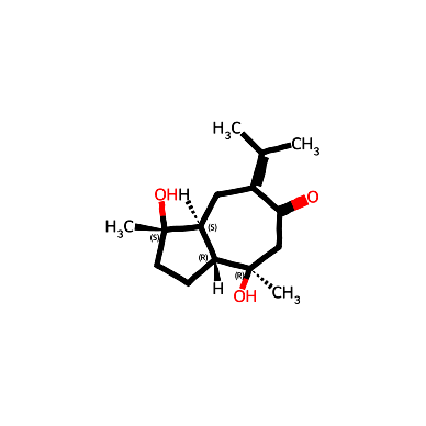 CC(C)=C1C[C@H]2[C@@H](CC[C@]2(C)O)[C@](C)(O)CC1=O